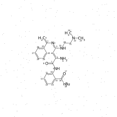 C=C(/N=C(\C=C(/N)C(=O)Nc1ccccc1C(=O)CCCC)NCCN(C)C)c1ccccc1